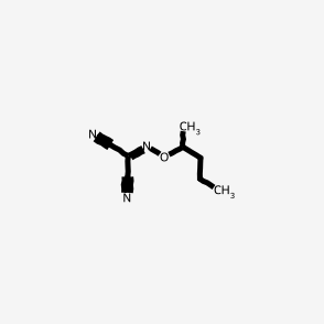 CCCC(C)ON=C(C#N)C#N